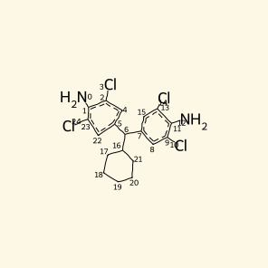 Nc1c(Cl)cc(C(c2cc(Cl)c(N)c(Cl)c2)C2CCCCC2)cc1Cl